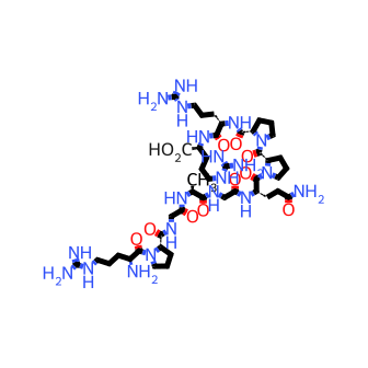 C[C@H](NC(=O)CNC(=O)[C@@H]1CCCN1C(=O)[C@@H](N)CCCNC(=N)N)C(=O)NCC(=O)N[C@@H](CCC(N)=O)C(=O)N1CCC[C@H]1C(=O)N1CCC[C@H]1C(=O)N[C@@H](CCCNC(=N)N)C(=O)N[C@@H](CCCNC(=N)N)C(=O)O